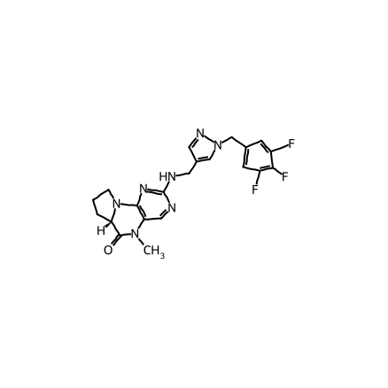 CN1C(=O)[C@@H]2CCCN2c2nc(NCc3cnn(Cc4cc(F)c(F)c(F)c4)c3)ncc21